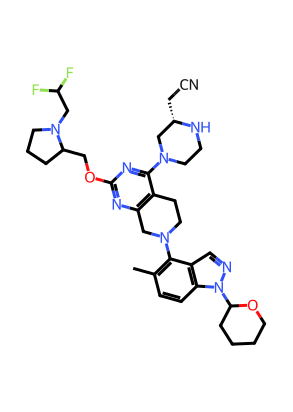 Cc1ccc2c(cnn2C2CCCCO2)c1N1CCc2c(nc(OCC3CCCN3CC(F)F)nc2N2CCN[C@@H](CC#N)C2)C1